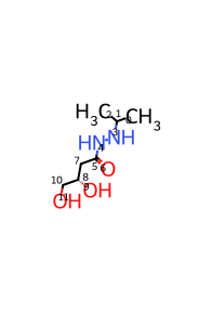 CC(C)NNC(=O)C[C@H](O)CO